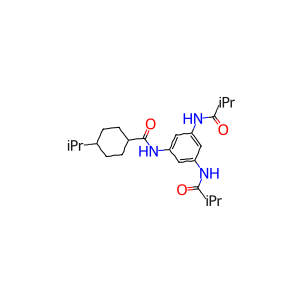 CC(C)C(=O)Nc1cc(NC(=O)C(C)C)cc(NC(=O)C2CCC(C(C)C)CC2)c1